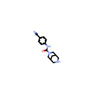 N#Cc1ccc(NC(=O)N2CC3CNCC(C3)C2)cc1